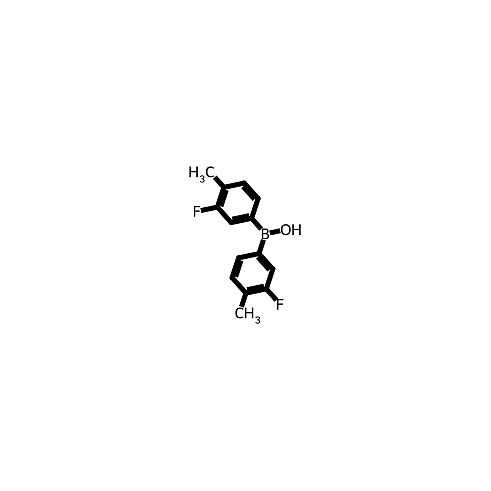 Cc1ccc(B(O)c2ccc(C)c(F)c2)cc1F